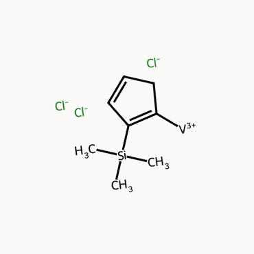 C[Si](C)(C)C1=[C]([V+3])CC=C1.[Cl-].[Cl-].[Cl-]